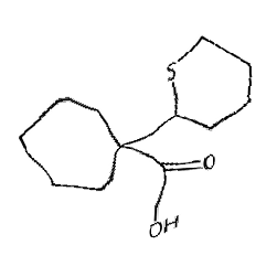 O=C(O)C1(C2CCCCS2)CCCCC1